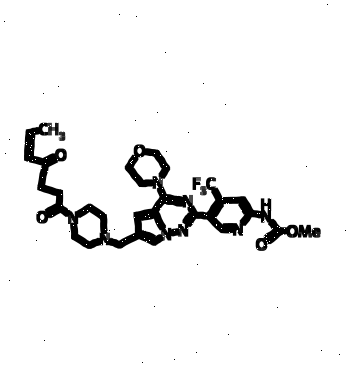 C/C=C\C(=O)CCC(=O)N1CCN(Cc2cc3c(N4CCOCC4)nc(-c4cnc(NC(=O)OC)cc4C(F)(F)F)nn3c2)CC1